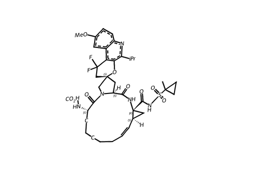 COc1ccc2nc(C(C)C)c3c(c2c1)C(F)(F)C[C@]1(C[C@H]2C(=O)N[C@]4(C(=O)NS(=O)(=O)C5(C)CC5)C[C@H]4C=CCCCCC[C@H](NC(=O)O)C(=O)N2C1)O3